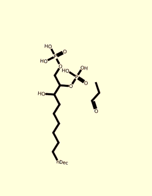 CCC=O.CCCCCCCCCCCCCCCCC(O)C(COP(=O)(O)O)OP(=O)(O)O